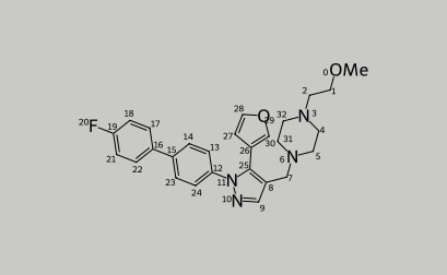 COCCN1CCN(Cc2cnn(-c3ccc(-c4ccc(F)cc4)cc3)c2-c2ccoc2)CC1